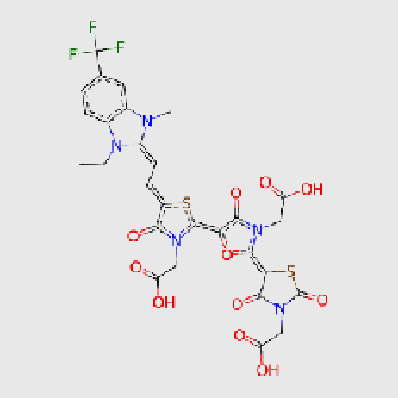 CCN1C(=CC=c2s/c(=c3/o/c(=C4/SC(=O)N(CC(=O)O)C4=O)n(CC(=O)O)c3=O)n(CC(=O)O)c2=O)N(C)c2cc(C(F)(F)F)ccc21